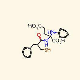 O=C(O)CC[C@@](NC(=O)C(CS)Cc1ccccc1)(Nc1ccccc1)C(=O)O